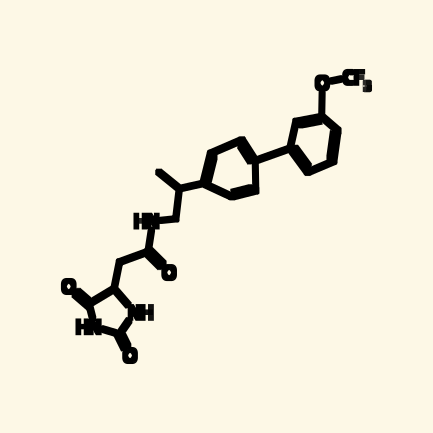 CC(CNC(=O)CC1NC(=O)NC1=O)c1ccc(-c2cccc(OC(F)(F)F)c2)cc1